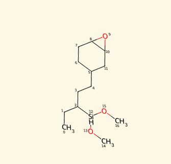 CCC(CCC1CCC2OC2C1)[SiH](OC)OC